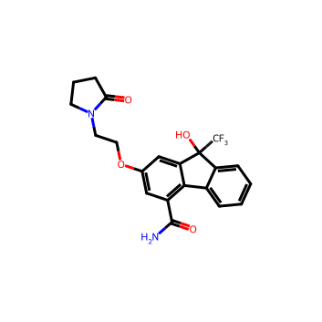 NC(=O)c1cc(OCCN2CCCC2=O)cc2c1-c1ccccc1C2(O)C(F)(F)F